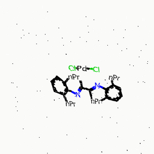 CCCc1cccc(CCC)c1N=C(C)C(C)=Nc1c(CCC)cccc1CCC.[Cl][Pd][Cl]